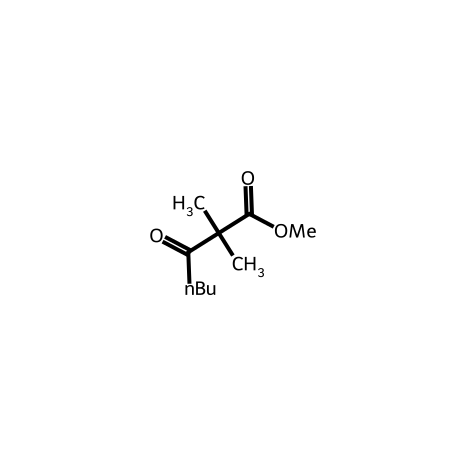 CCCCC(=O)C(C)(C)C(=O)OC